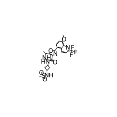 COc1ccc(-c2nc(C(=O)N[C@H]3C[C@@H](NS(C)(=O)=O)C3)c([C@H](C)N)o2)c2ccc(C(F)(F)F)nc12